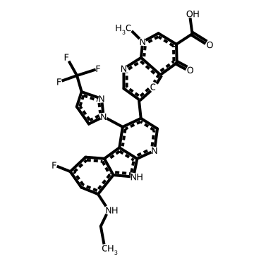 CCNc1cc(F)cc2c1[nH]c1ncc(-c3cnc4c(c3)c(=O)c(C(=O)O)cn4C)c(-n3ccc(C(F)(F)F)n3)c12